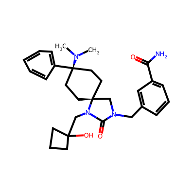 CN(C)[C@]1(c2ccccc2)CC[C@@]2(CC1)CN(Cc1cccc(C(N)=O)c1)C(=O)N2CC1(O)CCC1